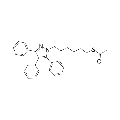 CC(=O)SCCCCCCn1nc(-c2ccccc2)c(-c2ccccc2)c1-c1ccccc1